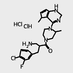 CC1C=CC2=C1C(N1CCN(C(=O)C(CN)Cc3ccc(Cl)c(F)c3)CC1C)=NCN2.Cl.Cl